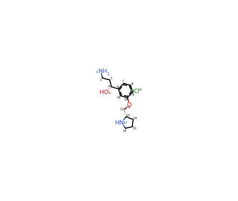 Cl.NCC[C@@H](O)c1cccc(OC[C@@H]2CCCN2)c1